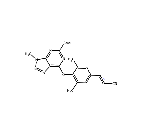 CSc1nc(Oc2c(C)cc(/C=C/C#N)cc2C)c2nnn(C)c2n1